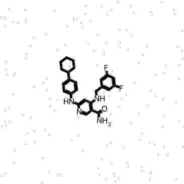 NC(=O)c1cnc(Nc2ccc(C3CCCCC3)cc2)cc1NCc1cc(F)cc(F)c1